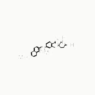 C=C1CCC(N2Cc3cc(NCc4ccc5cc(OC)ccc5c4OC)ccc3C2=O)C(=O)N1